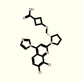 O=C(O)C1CC(OC[C@@H]2CCCN2c2cc(-n3ccnc3)c3ccc(Cl)c(Cl)c3n2)C1